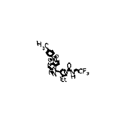 CCC1CN(C(=O)NCC(F)(F)F)CC1c1nnc2cnc3c(ccn3S(=O)(=O)c3ccc(C)cc3)n12